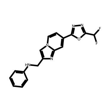 FC(F)c1nnc(-c2ccn3cc(CNc4ccccc4)nc3c2)o1